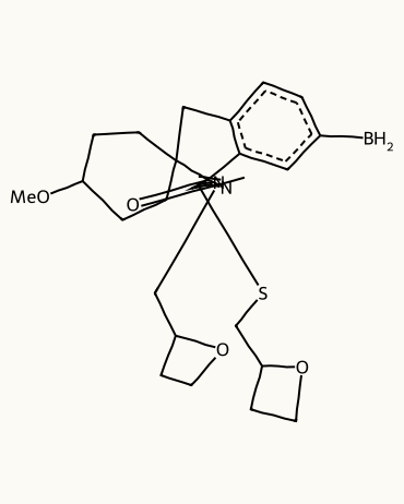 Bc1ccc2c(c1)C1(N=C(SCC3CCO3)N(CC3CCO3)C1=O)C1(CCC(OC)CC1)C2